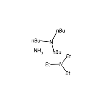 CCCCN(CCCC)CCCC.CCN(CC)CC.N